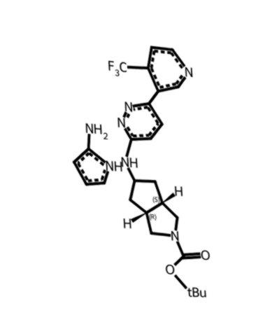 CC(C)(C)OC(=O)N1C[C@H]2CC(Nc3ccc(-c4cnccc4C(F)(F)F)nn3)C[C@H]2C1.Nc1ccc[nH]1